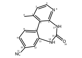 Cc1ccnc2c1-c1ccc(C#N)cc1NC(=O)N2